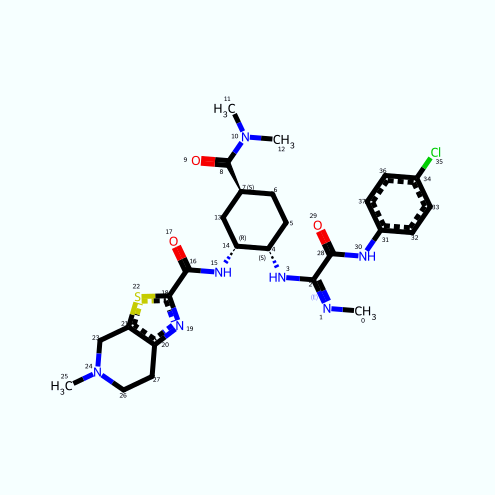 C/N=C(/N[C@H]1CC[C@H](C(=O)N(C)C)C[C@H]1NC(=O)c1nc2c(s1)CN(C)CC2)C(=O)Nc1ccc(Cl)cc1